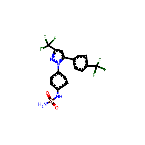 NS(=O)(=O)Nc1ccc(-n2nc(C(F)(F)F)cc2-c2ccc(C(F)(F)F)cc2)cc1